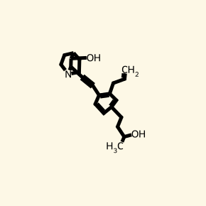 C=CCc1cc(CCC(C)O)ccc1C#CC1C(O)C2CCN1CC2